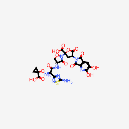 Nc1nc(/C(=N/OC2(C(=O)O)CC2)C(=O)N[C@H]2CON(C3(C(=O)O)CC(N4C(=O)c5cc(O)c(O)nc5C4=O)C(=O)O3)C2=O)ns1